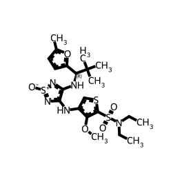 CCN(CC)S(=O)(=O)c1scc(Nc2n[s+]([O-])nc2N[C@@H](c2ccc(C)o2)C(C)(C)C)c1OC